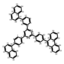 c1cc(-c2cc(-c3ccc(-c4cccc5ccccc45)cc3)nc(-c3ccc(-c4cc5ccccc5c5ccccc45)cc3)n2)cc(-c2cccc3ccccc23)c1